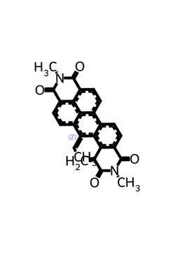 C=C1C(=O)N(C)C(=O)c2ccc3c(c21)/c(=C\C)c1ccc2c4c(ccc3c41)C(=O)N(C)C2=O